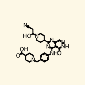 N#CCC(O)N1CCC(c2nc(Nc3ccc(CN4CCC(C(=O)O)CC4)cc3)c3c(=O)[nH]ncc3n2)CC1